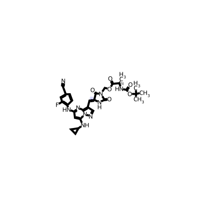 C[C@H](NC(=O)OC(C)(C)C)C(=O)OCN1C(=O)N/C(=C\c2cnn3c(NC4CC4)cc(Nc4ccc(C#N)cc4F)nc23)C1=O